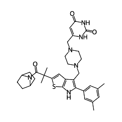 Cc1cc(C)cc(-c2[nH]c3sc(C(C)(C)C(=O)N4C5CCC4CC5)cc3c2CN2CCN(Cc3cc(=O)[nH]c(=O)[nH]3)CC2)c1